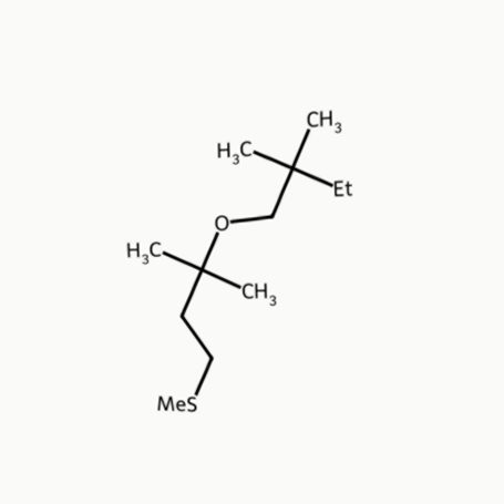 CCC(C)(C)COC(C)(C)CCSC